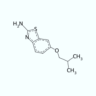 CC(C)COc1ccc2nc(N)sc2c1